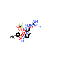 Cc1ccc(NS(=O)(=O)c2cccc(C#N)c2)c(=O)n1C(CCONC(=N)N)C(N)=O.O=C(O)C(F)(F)F